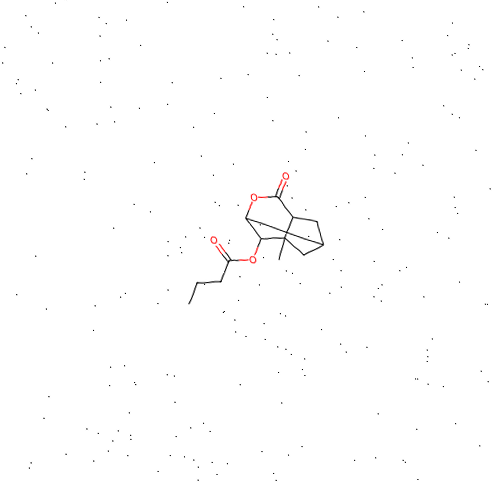 CCCC(=O)OC1C2OC(=O)C3CC2CC31C